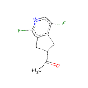 CC(=O)C1Cc2c(F)cnc(F)c2C1